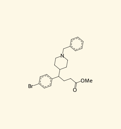 COC(=O)CCC(c1ccc(Br)cc1)C1CCN(Cc2ccccc2)CC1